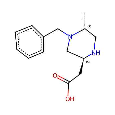 C[C@@H]1CN[C@@H](CC(=O)O)CN1Cc1ccccc1